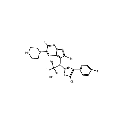 Cl.[2H]C([2H])([2H])N(c1nc(-c2ccc(F)cc2)c(C#N)s1)c1c(CC)nn2cc(F)c(N3CCNCC3)cc12